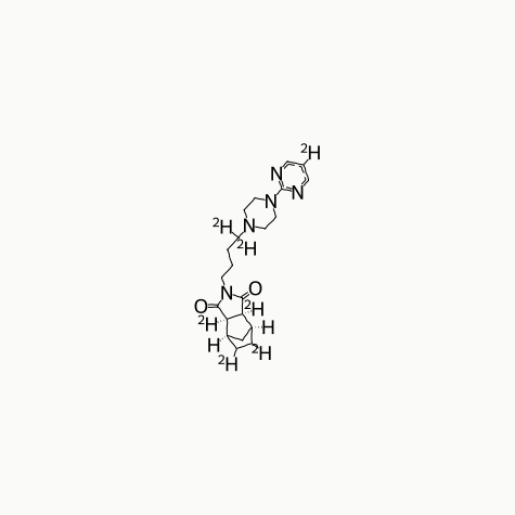 [2H]c1cnc(N2CCN(C([2H])([2H])CCCN3C(=O)[C@@]4([2H])[C@@H]5C[C@@H](C([2H])C5[2H])[C@@]4([2H])C3=O)CC2)nc1